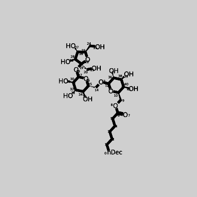 CCCCCCCCCCCCCCCC(=O)OC[C@H]1OC(OC[C@H]2OC(O[C@]3(CO)O[C@H](CO)[C@@H](O)[C@@H]3O)[C@H](O)[C@@H](O)[C@@H]2O)[C@H](O)[C@@H](O)[C@H]1O